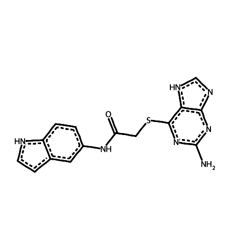 Nc1nc(SCC(=O)Nc2ccc3[nH]ccc3c2)c2[nH]cnc2n1